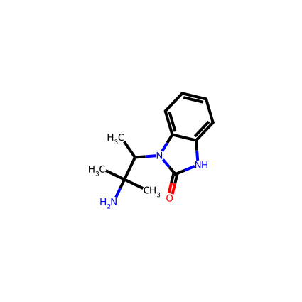 CC(n1c(=O)[nH]c2ccccc21)C(C)(C)N